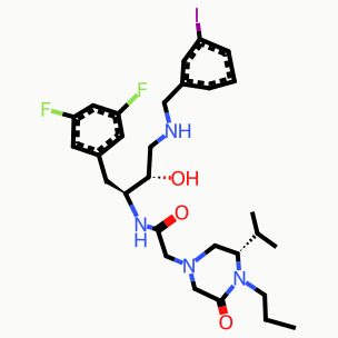 CCCN1C(=O)CN(CC(=O)N[C@@H](Cc2cc(F)cc(F)c2)[C@@H](O)CNCc2cccc(I)c2)C[C@@H]1C(C)C